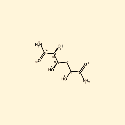 NC(=O)C(O)C[C@@H](O)[C@H](O)C(N)=O